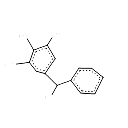 Cc1cc(C(C)c2ccccc2)cc(C)c1O